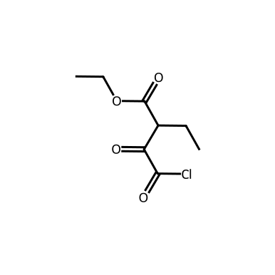 CCOC(=O)C(CC)C(=O)C(=O)Cl